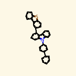 c1ccc(-c2ccc(-n3c4ccccc4c4c(-c5ccc6sc7ccccc7c6c5)cccc43)cc2)cc1